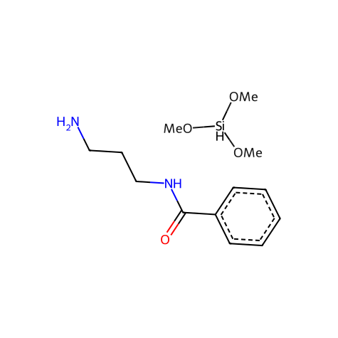 CO[SiH](OC)OC.NCCCNC(=O)c1ccccc1